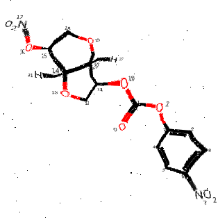 O=C(Oc1ccc([N+](=O)[O-])cc1)OC1CO[C@@H]2[C@@H](O[N+](=O)[O-])CO[C@H]12